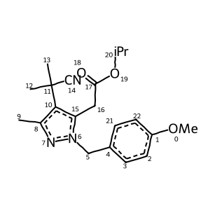 COc1ccc(Cn2nc(C)c(C(C)(C)C#N)c2CC(=O)OC(C)C)cc1